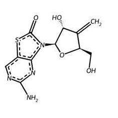 C=C1[C@@H](O)[C@H](n2c(=O)sc3cnc(N)nc32)O[C@@H]1CO